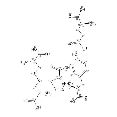 NC(CSSC[C@H](N)C(=O)O)C(=O)O.N[C@@H](CCC(=O)O)C(=O)O.N[C@@H](Cc1ccc(O)cc1)C(=O)O.O=C(O)[C@@H]1CCCN1